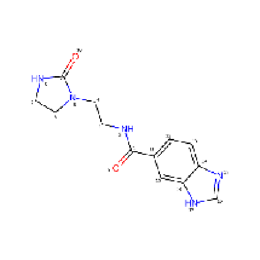 O=C(NCCN1CCNC1=O)c1ccc2nc[nH]c2c1